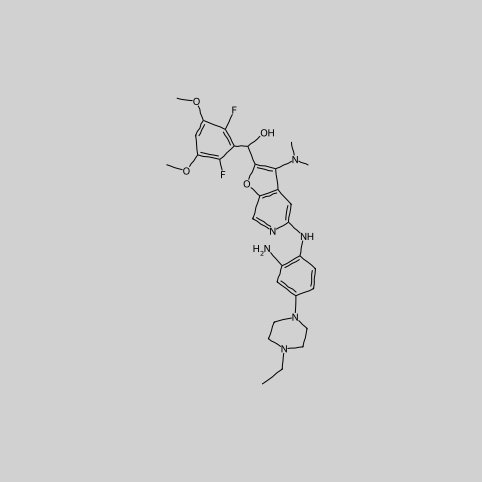 CCN1CCN(c2ccc(Nc3cc4c(N(C)C)c(C(O)c5c(F)c(OC)cc(OC)c5F)oc4cn3)c(N)c2)CC1